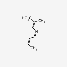 C\C=C/C=N\C=C(/C)C(=O)O